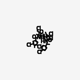 CCC(C)(NC(=O)c1cc(Cl)c(C)c(Cl)c1)C(=O)CCl.CCC1(C(=O)NC(C)c2ccc(Cl)cc2)C(C)C1(Cl)Cl